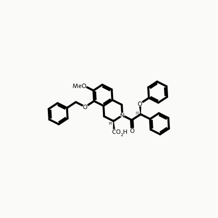 COc1ccc2c(c1OCc1ccccc1)C[C@H](C(=O)O)N(C(=O)[C@@H](Oc1ccccc1)c1ccccc1)C2